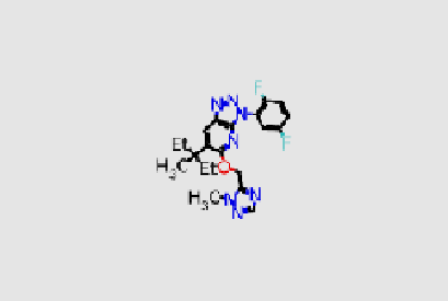 CCC(C)(CC)c1cc2nnn(-c3cc(F)ccc3F)c2nc1OCc1ncnn1C